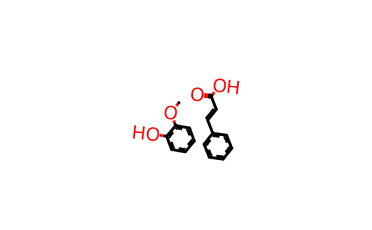 COc1ccccc1O.O=C(O)C=Cc1ccccc1